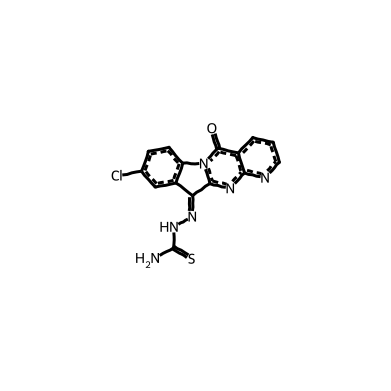 NC(=S)NN=C1c2cc(Cl)ccc2-n2c1nc1ncccc1c2=O